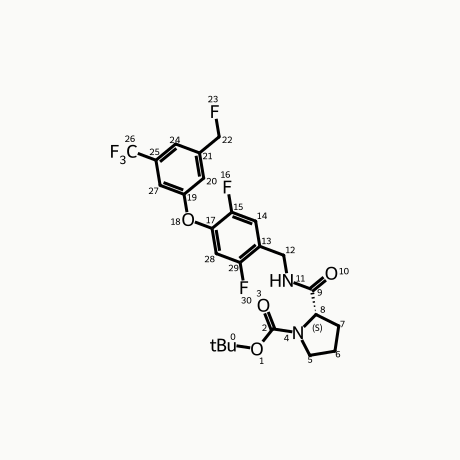 CC(C)(C)OC(=O)N1CCC[C@H]1C(=O)NCc1cc(F)c(Oc2cc(CF)cc(C(F)(F)F)c2)cc1F